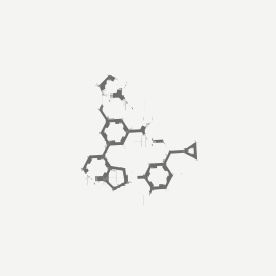 Cc1cc([C@@H](CNC(=O)c2cc(Cn3ccoc3=N)cc(-c3ccnc4c3CCC4)c2)C2CC2)ccc1F